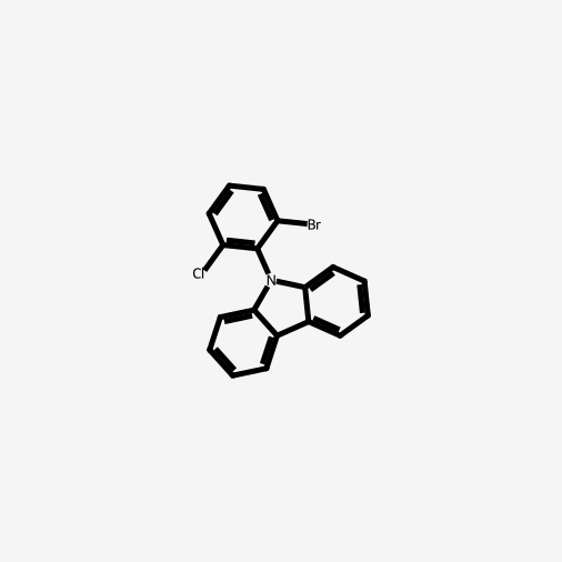 Clc1cccc(Br)c1-n1c2ccccc2c2ccccc21